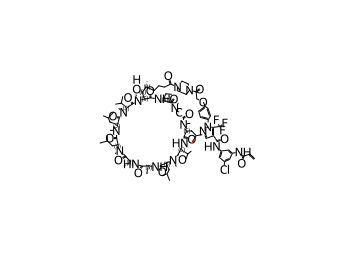 C=CC(=O)Nc1cc(Cl)cc(NC(=O)c2cnn(-c3ccc(OCC(=O)N4CCN(C(=O)CCC[C@@H](C)[C@@H](O)[C@H]5C(=O)N[C@@H](CC)C(=O)N(C)CC(=O)N(C)[C@@H](CC(C)C)C(=O)N[C@@H](C(C)C)C(=O)N(C)[C@@H](CC(C)C)C(=O)N[C@@H](C)C(=O)N[C@H](C)C(=O)N(C)[C@@H](CC(C)C)C(=O)N(C)[C@@H](CC(C)C)C(=O)N(C)[C@@H](C(C)C)C(=O)N5C)CC4)cc3)c2C(F)(F)F)c1